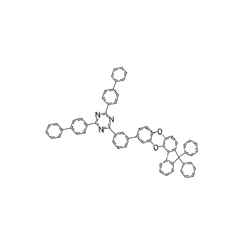 c1ccc(-c2ccc(-c3nc(-c4ccc(-c5ccccc5)cc4)nc(-c4cccc(-c5ccc6c(c5)Oc5c(ccc7c5-c5ccccc5C7(c5ccccc5)c5ccccc5)O6)c4)n3)cc2)cc1